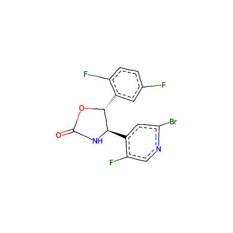 O=C1N[C@H](c2cc(Br)ncc2F)[C@@H](c2cc(F)ccc2F)O1